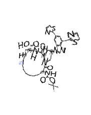 CC(C)(C)OC(=O)N[C@H]1CCCCC/C=C\[C@@H]2C[C@@]2(C(=O)O)NC(=O)[C@@H]2C[C@@H](n3cnc4c(-c5nccs5)cc(-c5nccs5)cc43)CN2C1=O